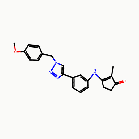 COc1ccc(Cn2cc(-c3cccc(NC4=C(C)C(=O)CC4)c3)nn2)cc1